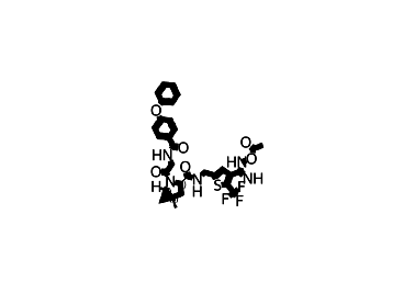 CC(=O)ONC(=N)c1cc(CNC(=O)[C@@H]2C[C@]3(C)C[C@@H]3N2C(=O)CNC(=O)c2ccc(Oc3ccccc3)cc2)sc1C(F)(F)F